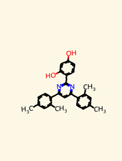 Cc1ccc(-c2cc(-c3ccc(C)cc3C)nc(-c3ccc(O)cc3O)n2)c(C)c1